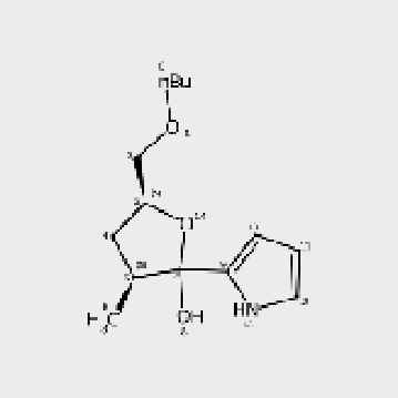 CCCCOC[C@@H]1C[C@H](C)C(O)(c2ccc[nH]2)O1